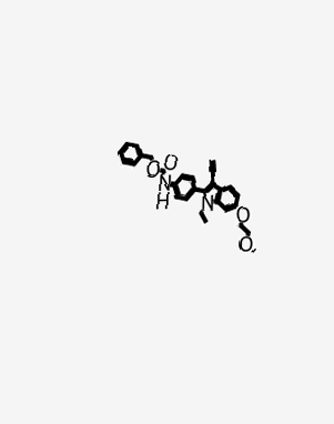 C#Cc1c(-c2ccc(NC(=O)OCc3ccccc3)cc2)n(CC)c2cc(OCCOC)ccc12